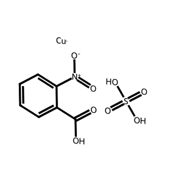 O=C(O)c1ccccc1[N+](=O)[O-].O=S(=O)(O)O.[Cu]